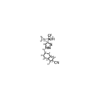 Cc1c(C#N)sc2cc(Cn3cc(C(O)(C4CC4)C(F)(F)F)nn3)ccc12